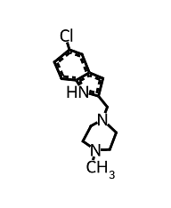 CN1CCN(Cc2cc3cc(Cl)ccc3[nH]2)CC1